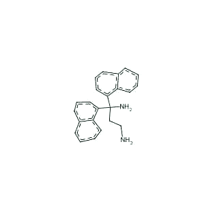 NCCC(N)(c1cccc2ccccc12)c1cccc2ccccc12